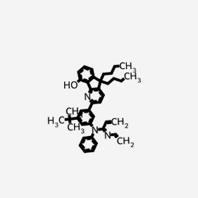 C=C/N=C(\C=C)N(c1ccccc1)c1cc(-c2ccc3c(n2)-c2c(O)cccc2C3(CCCC)CCCC)cc(C(C)(C)C)c1